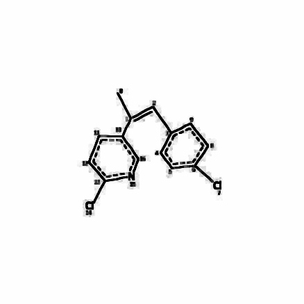 C/C(=C/c1ccc(Cl)cc1)c1ccc(Cl)nc1